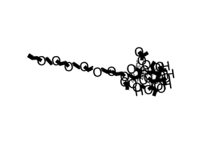 C=CCOCCOCCOCCOCCOCCOCCO[C@@H]1O[C@H](COC(C)=O)[C@@H](O[C@@H]2O[C@H](C(O)C(C)=O)[C@@](O)(C(C)=O)[C@@](O)(C(C)=O)[C@]2(O)C(C)=O)[C@H](OC(C)=O)[C@H]1OC(C)=O